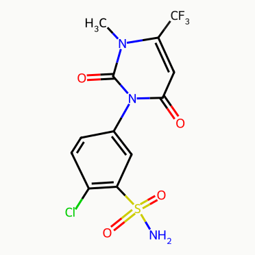 Cn1c(C(F)(F)F)cc(=O)n(-c2ccc(Cl)c(S(N)(=O)=O)c2)c1=O